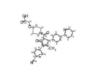 Cn1c(-c2ccc(-c3ccccn3)cc2)c(C(=O)N2CCC(OCC(=O)O)CC2)c(=O)n1-c1ccc(C#N)cc1